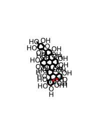 Oc1c(O)c(O)c(-c2c(O)c(O)c(-c3c4c(O)c(O)c(O)c(O)c4c(-c4c(O)c(O)c5oc6c(O)c(O)c(O)c(O)c6c5c4O)c4c(O)c(O)c(O)c(O)c34)c(O)c2-c2c(O)c(O)c(O)c(O)c2O)c(O)c1O